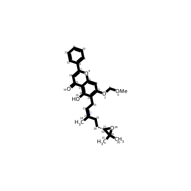 COCOc1cc2oc(-c3ccccc3)cc(=O)c2c(O)c1C/C=C(/C)CC[C@@H]1OC1(C)C